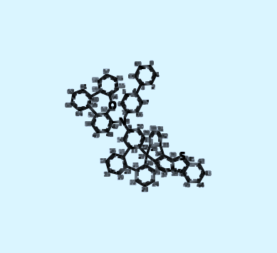 c1ccc(-c2ccc(N(c3ccc4c(c3)-c3ccccc3-c3ccccc3C43c4ccccc4-c4c3ccc3c4sc4ccccc43)c3cccc4c3Oc3ccccc3-c3ccccc3-4)cc2)cc1